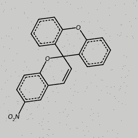 O=[N+]([O-])c1ccc2c(c1)C=CC1(O2)c2ccccc2Oc2ccccc21